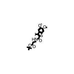 COc1cc2sc(C(=O)NCCC(=O)OC(C)(C)C)c(I)c2cc1OC